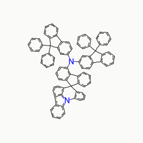 c1ccc(C2(c3ccccc3)c3ccccc3-c3ccc(N(c4ccc5c(c4)C(c4ccccc4)(c4ccccc4)c4ccccc4-5)c4cccc5c4-c4ccccc4C54c5ccccc5-n5c6ccccc6c6cccc4c65)cc32)cc1